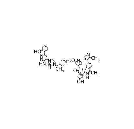 Cc1ncsc1-c1ccc([C@H](C)NC(=O)[C@@H]2C[C@@H](O)CN2C(=O)Cc2cc(OCCN3CCC(C(C)N4CCN5c6cc(-c7ccccc7O)nnc6NC[C@H]5C4)CC3)no2)cc1